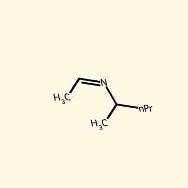 C/C=N\C(C)CCC